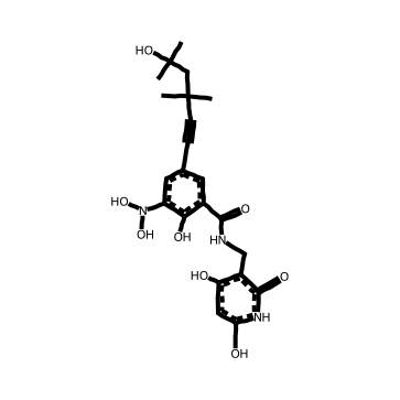 CC(C)(O)CC(C)(C)C#Cc1cc(C(=O)NCc2c(O)cc(O)[nH]c2=O)c(O)c(N(O)O)c1